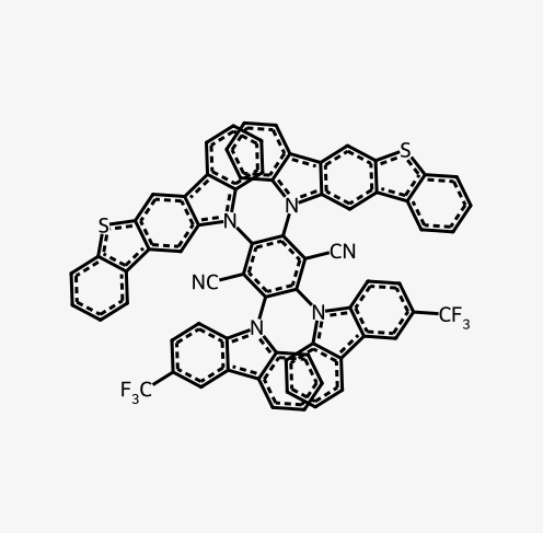 N#Cc1c(-n2c3ccccc3c3cc(C(F)(F)F)ccc32)c(-n2c3ccccc3c3cc(C(F)(F)F)ccc32)c(C#N)c(-n2c3ccccc3c3cc4sc5ccccc5c4cc32)c1-n1c2ccccc2c2cc3sc4ccccc4c3cc21